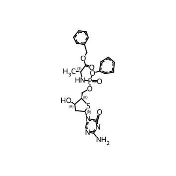 C[C@H](NP(=O)(OC[C@H]1S[C@@H](n2cnc(N)nc2=O)C[C@H]1O)Oc1ccccc1)C(=O)OCc1ccccc1